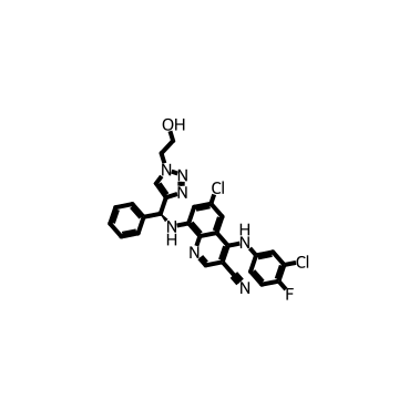 N#Cc1cnc2c(N[C@@H](c3ccccc3)c3cn(CCO)nn3)cc(Cl)cc2c1Nc1ccc(F)c(Cl)c1